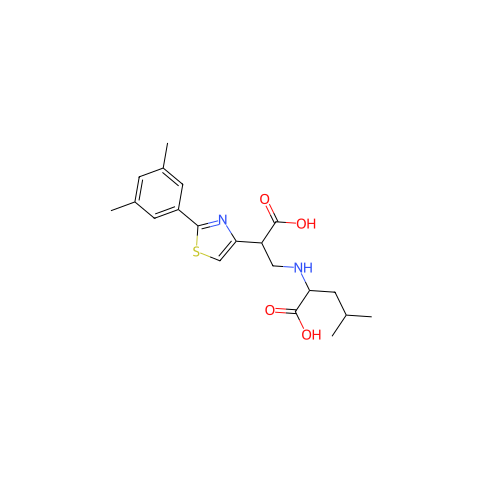 Cc1cc(C)cc(-c2nc(C(CNC(CC(C)C)C(=O)O)C(=O)O)cs2)c1